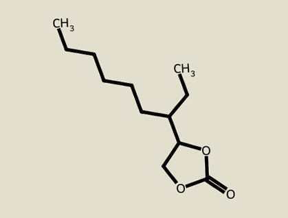 CCCCCCC(CC)C1COC(=O)O1